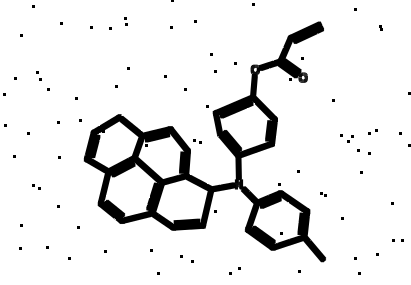 C=CC(=O)Oc1ccc(N(c2ccc(C)cc2)C2C=Cc3ccc4c5c(ccc2c35)CC=C4)cc1